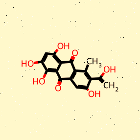 C=C(O)c1c(O)cc2c(c1C)C(=O)c1c(O)cc(O)c(O)c1C2=O